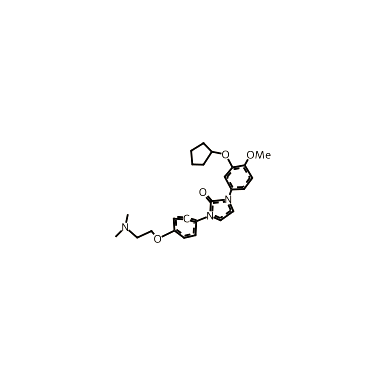 COc1ccc(-n2ccn(-c3ccc(OCCN(C)C)cc3)c2=O)cc1OC1CCCC1